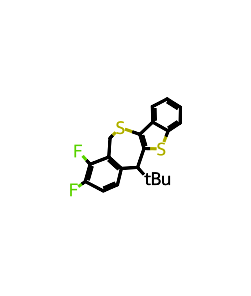 CC(C)(C)C1c2ccc(F)c(F)c2CSc2c1sc1ccccc21